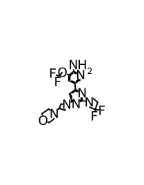 Nc1ncc(-c2cc(N3CC(N4CCOCC4)C3)nc(N3CCC(F)(F)C3)n2)cc1OC(F)F